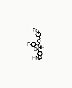 CC(C)N1CCC(COCC(NC(=O)c2ccc3cc[nH]c3c2)c2ccc(F)cc2)CC1